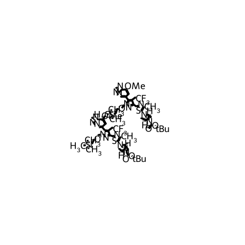 COc1cc(-c2c(CC(F)(F)F)c(-c3nc(C)c(N4C[C@@H]5C[C@H]4CN5C(=O)OC(C)(C)C)s3)nn2COCC[Si](C)(C)C)cn2ncnc12.COc1cc(-c2c(CC(F)(F)F)c(-c3nc(C)c(N4C[C@@H]5C[C@H]4CN5C(=O)OC(C)(C)C)s3)nn2COCC[Si](C)(C)C)cn2ncnc12